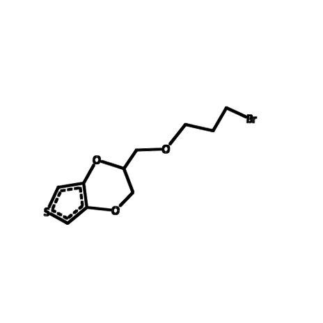 BrCCCOCC1COc2cscc2O1